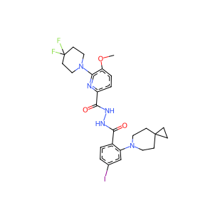 COc1ccc(C(=O)NNC(=O)c2ccc(I)cc2N2CCC3(CC2)CC3)nc1N1CCC(F)(F)CC1